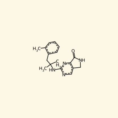 Cc1ccccc1CC(C)(C)Nc1ncc2c(n1)C(=O)NC2